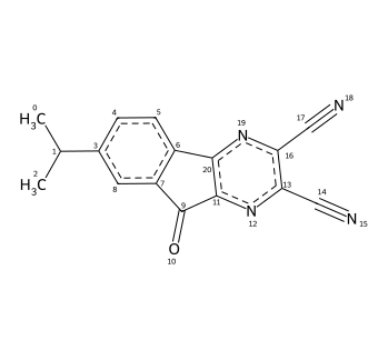 CC(C)c1ccc2c(c1)C(=O)c1nc(C#N)c(C#N)nc1-2